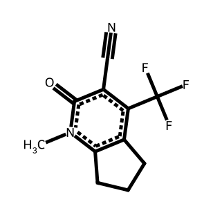 Cn1c2c(c(C(F)(F)F)c(C#N)c1=O)CCC2